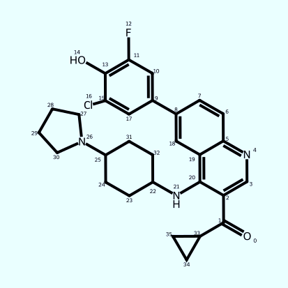 O=C(c1cnc2ccc(-c3cc(F)c(O)c(Cl)c3)cc2c1NC1CCC(N2CCCC2)CC1)C1CC1